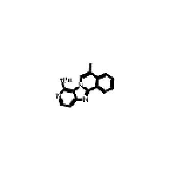 Cc1cn2c(nc3ccnc(C(C)(C)C)c32)c2ccccc12